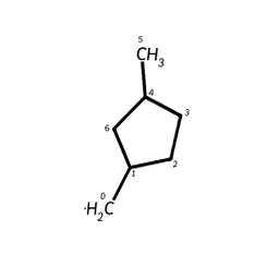 [CH2]C1CCC(C)C1